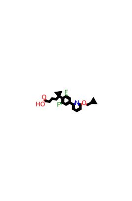 O=C(O)CCCC1(c2c(F)cc(-c3cccc(OCC4CC4)n3)cc2F)CC1